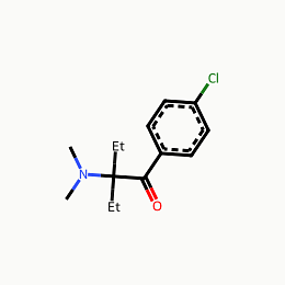 CCC(CC)(C(=O)c1ccc(Cl)cc1)N(C)C